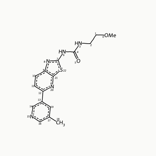 COCCNC(=O)Nc1nc2ccc(-c3cncc(C)c3)nc2s1